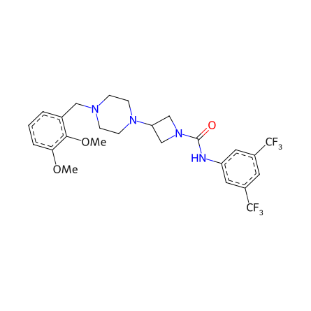 COc1cccc(CN2CCN(C3CN(C(=O)Nc4cc(C(F)(F)F)cc(C(F)(F)F)c4)C3)CC2)c1OC